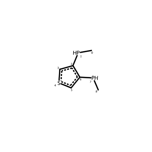 CPc1cscc1PC